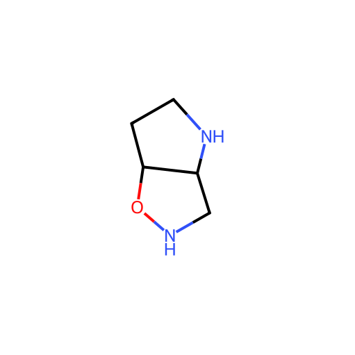 C1CC2ONCC2N1